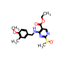 CCOC(=O)c1cnc([S+](C)[O-])nc1NCc1ccc(OC)c(C)c1